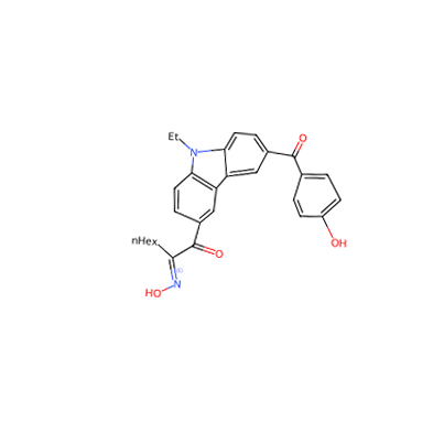 CCCCCC/C(=N\O)C(=O)c1ccc2c(c1)c1cc(C(=O)c3ccc(O)cc3)ccc1n2CC